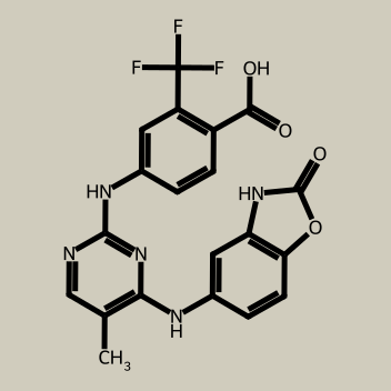 Cc1cnc(Nc2ccc(C(=O)O)c(C(F)(F)F)c2)nc1Nc1ccc2oc(=O)[nH]c2c1